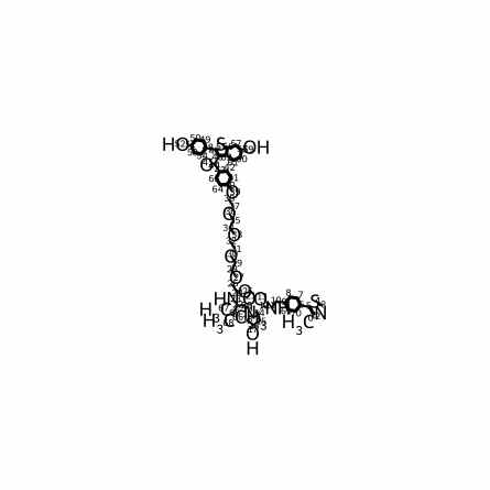 Cc1ncsc1-c1ccc(CNC(=O)[C@@H]2C[C@@H](O)CN2C(=O)C(NC(=O)COCCOCCOCCOCCOc2ccc(C(=O)c3c(-c4ccc(O)cc4)sc4cc(O)ccc34)cc2)C(C)(C)C)cc1